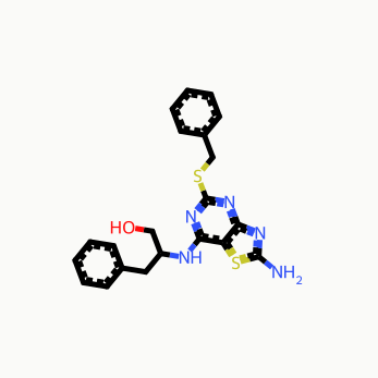 Nc1nc2nc(SCc3ccccc3)nc(NC(CO)Cc3ccccc3)c2s1